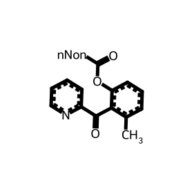 CCCCCCCCCC(=O)Oc1cccc(C)c1C(=O)c1ccccn1